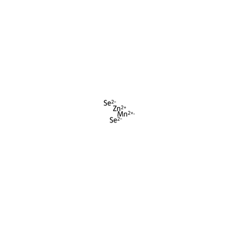 [Mn+2].[Se-2].[Se-2].[Zn+2]